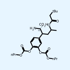 CCCOC(=O)Oc1ccc(C(CC(C)OC(=O)CC(C)(C)C)[C@H](N)C(=O)O)cc1OC(=O)OCCC